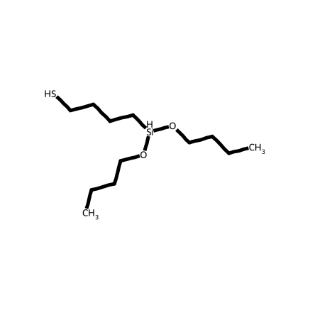 CCCCO[SiH](CCCCS)OCCCC